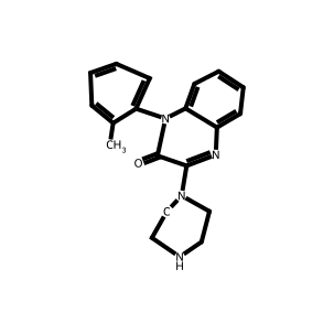 Cc1ccccc1-n1c(=O)c(N2CCNCC2)nc2ccccc21